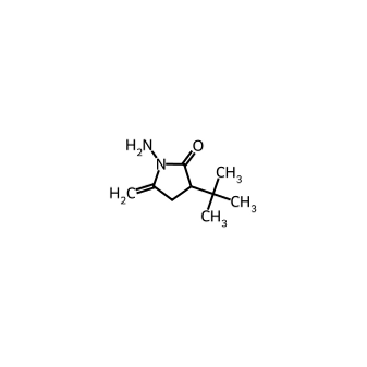 C=C1CC(C(C)(C)C)C(=O)N1N